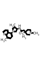 Cc1ccc(N2C[C@@H](C)[C@@H](NC(=O)CC3(C)CCN(C)CC3)C2)c2cccnc12